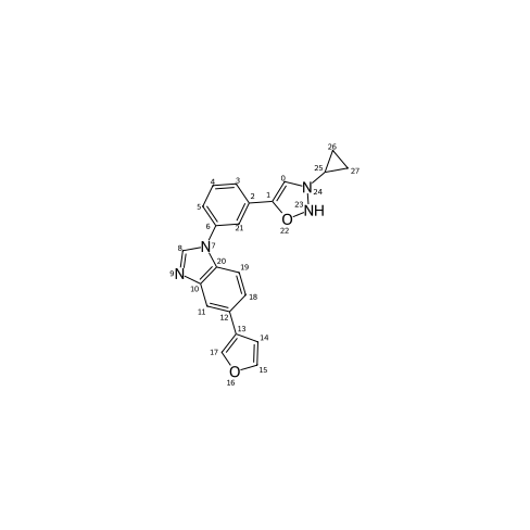 C1=C(c2cccc(-n3cnc4cc(-c5ccoc5)ccc43)c2)ONN1C1CC1